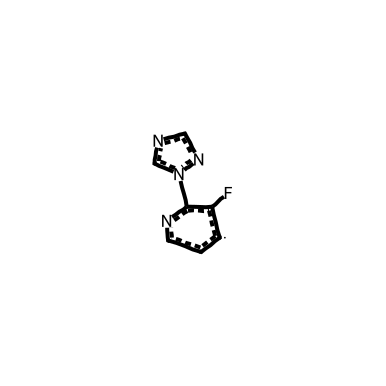 Fc1[c]ccnc1-n1cncn1